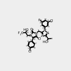 CC(O)c1nc(Cn2c(Cl)c(-c3ccc(Cl)cc3)n(CC(O)C(F)(F)F)c2=O)n(-c2cc(F)cc(Cl)c2)n1